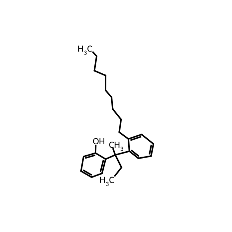 CCCCCCCCCc1ccccc1C(C)(CC)c1ccccc1O